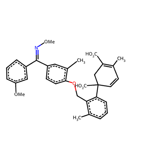 CON=C(c1cccc(OC)c1)c1ccc(OCc2c(C)cccc2C2(C(=O)O)C=CC(C)=C(C(=O)O)C2)c(C)c1